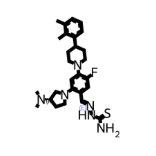 Cc1cccc(C2CCN(c3cc(N4CC[C@@H](N(C)C)C4)c(/C=N/NC(N)=S)cc3F)CC2)c1C